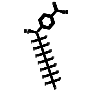 CN(c1ccc(C(=O)O)cc1)C(F)(F)C(F)(F)C(F)(F)C(F)(F)C(F)(F)C(F)(F)C(F)(F)F